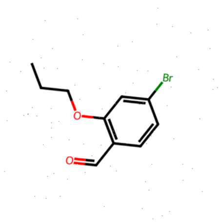 CCCOc1cc(Br)ccc1C=O